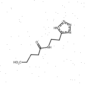 O=C(O)CCCC(=O)NCCc1nnn[nH]1